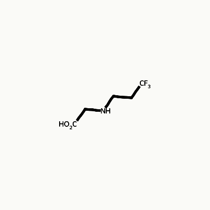 O=C(O)CNCCC(F)(F)F